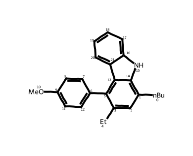 CCCCc1cc(CC)c(-c2ccc(OC)cc2)c2c1[nH]c1ccccc12